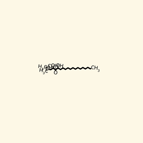 CCCCCCCCCCCCCCC(O)C(=O)C(O)C[N+](C)(C)C